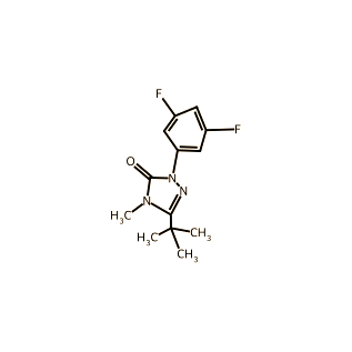 Cn1c(C(C)(C)C)nn(-c2cc(F)cc(F)c2)c1=O